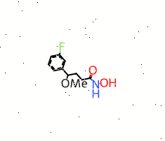 COC(CCC(=O)NO)c1cccc(F)c1